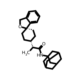 CC(C(=O)NC12CC3CC(CC(C3)C1)C2)[C@H]1CC[C@]2(CC1)OCc1ccccc12